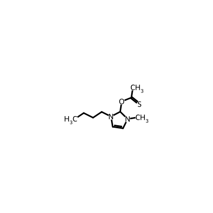 CCCCN1C=CN(C)C1OC(C)=S